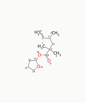 C=CC(C)CC(C)(C)C(=O)OC1CCCO1